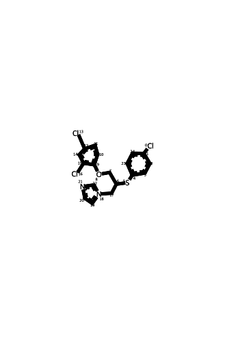 Clc1ccc(SC(COc2ccc(Cl)cc2Cl)Cn2ccnc2)cc1